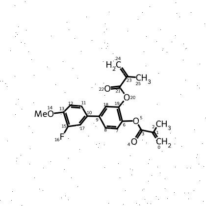 C=C(C)C(=O)Oc1ccc(-c2ccc(OC)c(F)c2)cc1OC(=O)C(=C)C